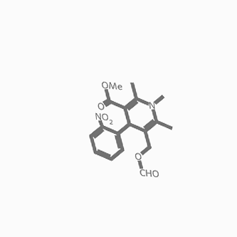 COC(=O)C1=C(C)N(C)C(C)=C(COC=O)C1c1ccccc1[N+](=O)[O-]